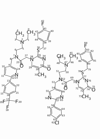 CCN(CC)CCN(Cc1ccc(-c2ccc(C(F)(F)F)cc2)nc1)C(=O)Cn1cc(C)c(=O)nc1SCc1ccc(F)cc1.CCN(CC)CCN(Cc1cnc(-c2ccc(Cl)cc2)nc1)C(=O)Cn1cc(C)c(=O)nc1SCc1ccc(F)cc1